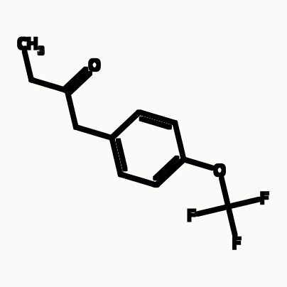 CCC(=O)Cc1ccc(OC(F)(F)F)cc1